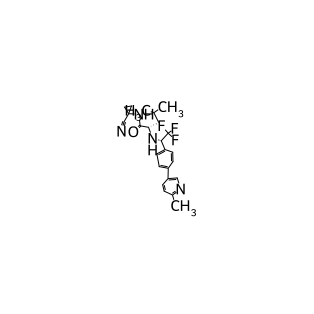 Cc1ccc(-c2ccc([C@H](N[C@@H](CC(C)C)C(=O)NC3(C#N)CC3)C(F)(F)F)cc2)cn1